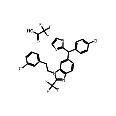 FC(F)(F)c1nc2ccc(C(c3ccc(Cl)cc3)c3nccs3)cc2n1CCc1cccc(Cl)c1.O=C(O)C(F)(F)F